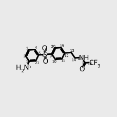 Nc1cccc(S(=O)(=O)c2ccc(CCNC(=O)C(F)(F)F)cc2)c1